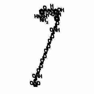 N=C(N)Nc1cccc(C(=O)NCC(=O)NC(CC(=O)O)C(=O)Nc2ccc(OCCCNC(=O)CCOCCOCCOCCOCCOCCOCCOCCOCCNC(=O)CCN3C(=O)C=CC3=O)cc2)c1